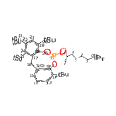 CC(C)CCCCCOP1Oc2c(cccc2C(C)(C)C)Cc2c(c(C(C)(C)C)cc(C(C)(C)C)c2C(C)(C)C)O1